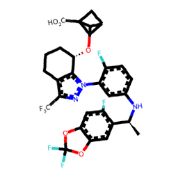 C[C@H](Nc1ccc(F)c(-n2nc(C(F)(F)F)c3c2[C@@H](OC2C4CC2(C(=O)O)C4)CCC3)c1)c1cc2c(cc1F)OC(F)(F)O2